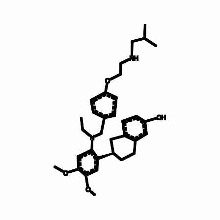 CCN(Cc1ccc(OCCNCC(C)C)cc1)c1cc(OC)c(OC)cc1[C@@H]1CCc2cc(O)ccc2C1